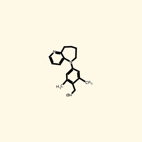 Cc1cc(N2CCCCc3ncccc32)cc(C)c1CC(C)(C)C